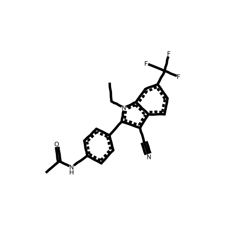 CCn1c(-c2ccc(NC(C)=O)cc2)c(C#N)c2ccc(C(F)(F)F)cc21